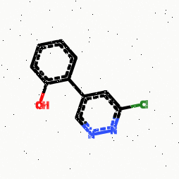 Oc1ccccc1-c1cnnc(Cl)c1